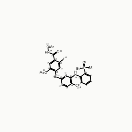 CCP(=O)(CC)c1ccccc1Nc1nc(Nc2cc(F)c(C(=O)NOC)cc2OC)ncc1C(F)(F)F